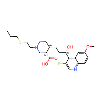 CCCSCCN1CC[C@H](CC[C@H](O)c2c(F)cnc3ccc(OC)cc23)[C@H](C(=O)O)C1